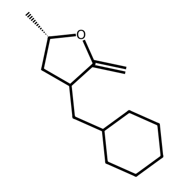 C=C1O[C@@H](C)CC1CC1CCCCC1